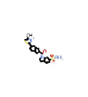 Cc1csc(-c2ccc3c(c2)CC(C(=O)N2CCc4ccc(S(N)(=O)=O)cc42)C3)n1